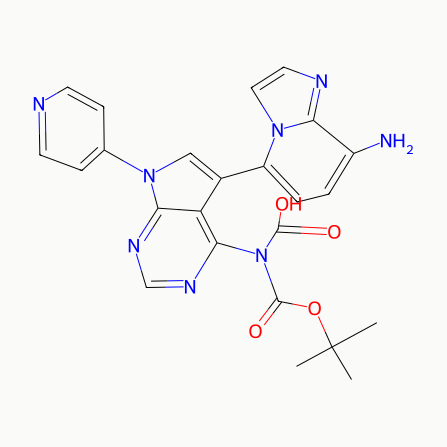 CC(C)(C)OC(=O)N(C(=O)O)c1ncnc2c1c(-c1ccc(N)c3nccn13)cn2-c1ccncc1